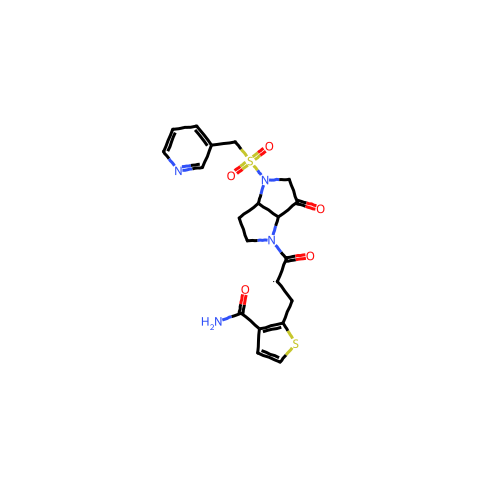 NC(=O)c1ccsc1C[CH]C(=O)N1CCC2C1C(=O)CN2S(=O)(=O)Cc1cccnc1